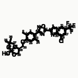 Cc1cc(-c2noc(-c3cn4cc(C(F)(F)F)cc(Cl)c4n3)n2)c(C)cc1OC[C@H]1CO[P](O)(OC(C)(C)C)O1